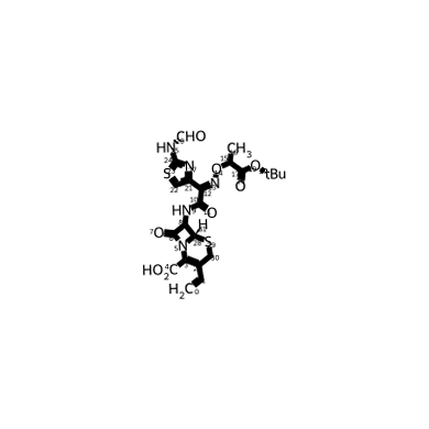 C=CC1=C(C(=O)O)N2C(=O)C(NC(=O)/C(=N/OC(C)C(=O)OC(C)(C)C)c3csc(NC=O)n3)[C@H]2SC1